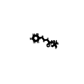 CC(C)(C)NC(=O)CCCc1ccccc1